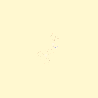 c1ccc2c(c1)Sc1ccccc1N2c1ccc(-c2ncc3ccc4ccccc4c3n2)cc1